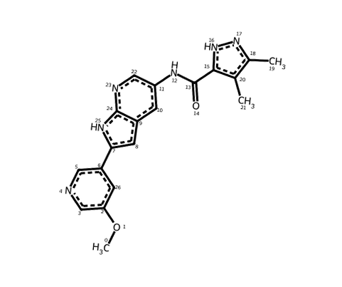 COc1cncc(-c2cc3cc(NC(=O)c4[nH]nc(C)c4C)cnc3[nH]2)c1